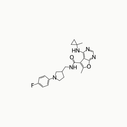 Cc1oc2ncnc(NC3(C)CC3)c2c1C(=O)NCC1CCN(c2ccc(F)cc2)C1